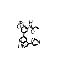 C=CC(=O)Nc1cc(-c2cnc3[nH]cc(-c4ccncn4)c3c2)cc(OC(C)C)n1